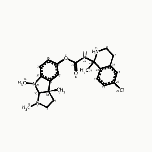 CN1CC[C@@]2(C)c3cc(OC(=O)NC4(C)NCCc5cc(Cl)ccc54)ccc3N(C)C12